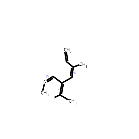 C=C\C(C)=C/C(/C=N\C)=C(\C)I